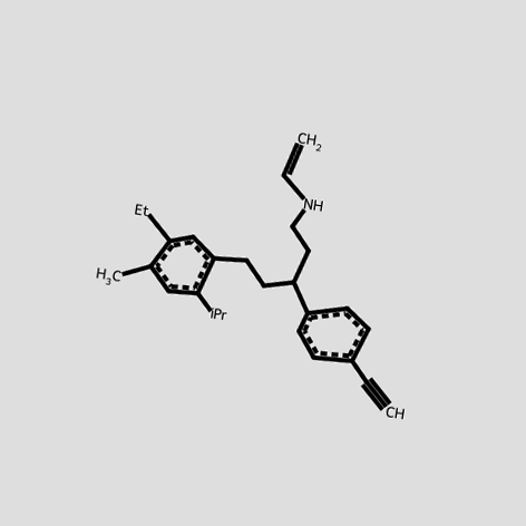 C#Cc1ccc(C(CCNC=C)CCc2cc(CC)c(C)cc2C(C)C)cc1